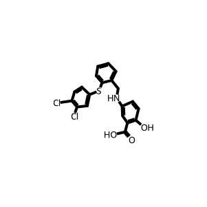 O=C(O)c1cc(NCc2ccccc2Sc2ccc(Cl)c(Cl)c2)ccc1O